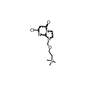 C[Si](C)(C)CCOCn1ccn2c(=O)cc(Cl)nc12